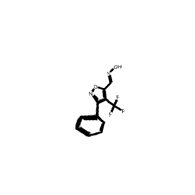 O/N=C/c1onc(-c2ccccc2)c1C(F)(F)F